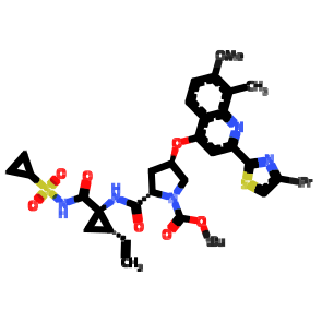 C=C[C@@H]1C[C@]1(NC(=O)[C@@H]1C[C@@H](Oc2cc(-c3nc(C(C)C)cs3)nc3c(C)c(OC)ccc23)CN1C(=O)OC(C)(C)C)C(=O)NS(=O)(=O)C1CC1